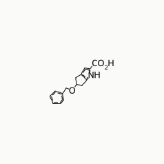 O=C(O)c1cc2c([nH]1)CC(OCc1ccccc1)C2